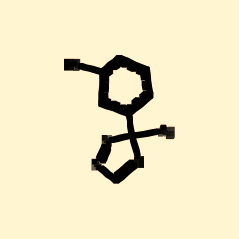 Sc1cccc([C]2([Ag])N=CN=N2)c1